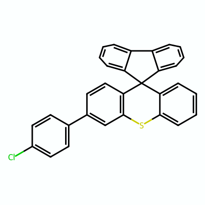 Clc1ccc(-c2ccc3c(c2)Sc2ccccc2C32c3ccccc3-c3ccccc32)cc1